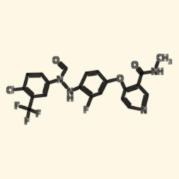 CNC(=O)c1cnccc1Oc1ccc(NN(C=O)c2ccc(Cl)c(C(F)(F)F)c2)c(F)c1